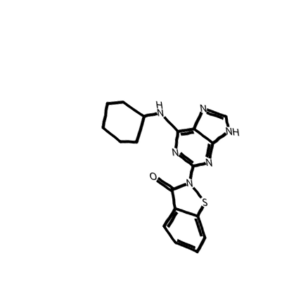 O=c1c2ccccc2sn1-c1nc(NC2CCCCC2)c2nc[nH]c2n1